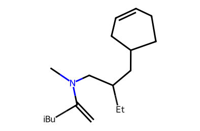 C=C(C(C)CC)N(C)CC(CC)CC1CC=CCC1